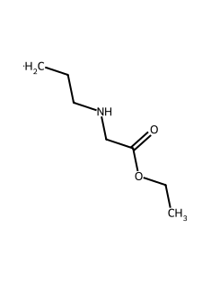 [CH2]CCNCC(=O)OCC